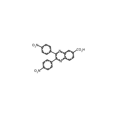 O=C(O)c1ccc2nc(-c3ccc([N+](=O)[O-])cc3)c(-c3ccc([N+](=O)[O-])cc3)nc2c1